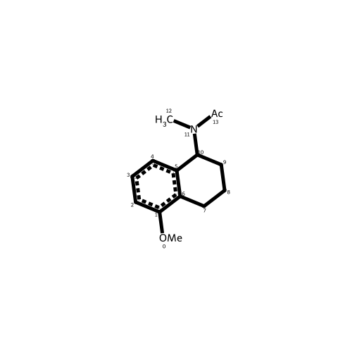 COc1cccc2c1CCCC2N(C)C(C)=O